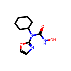 O=C(NO)N(c1ncco1)C1CCCCC1